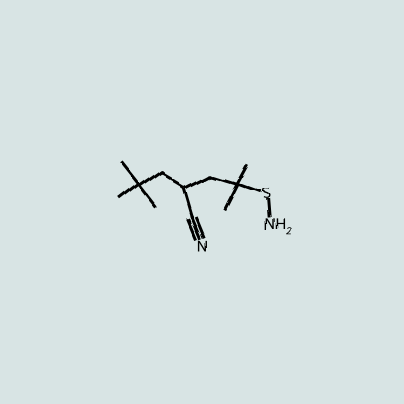 CC(C)(C)CC(C#N)CC(C)(C)SN